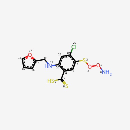 NOOSc1cc(C(=S)S)c(NCc2ccco2)cc1Cl